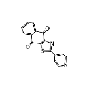 O=C1c2ccccc2C(=O)c2sc(-c3ccncc3)nc21